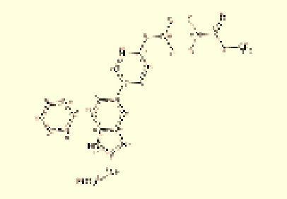 CCOC(=O)Nc1nc2cc(-c3ccc(CN4CCN(C(=O)CC(F)(F)F)CC4)nc3)cc(-c3ncccn3)c2[nH]1